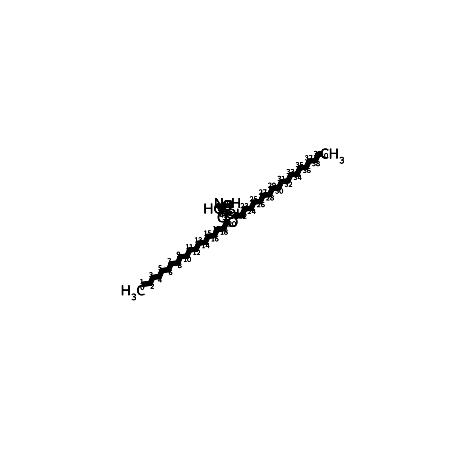 CCCCCCCCCCCCCCCCCCCCOCCCCCCCCCCCCCCCCCCCC.O=S(=O)(O)O.[NaH]